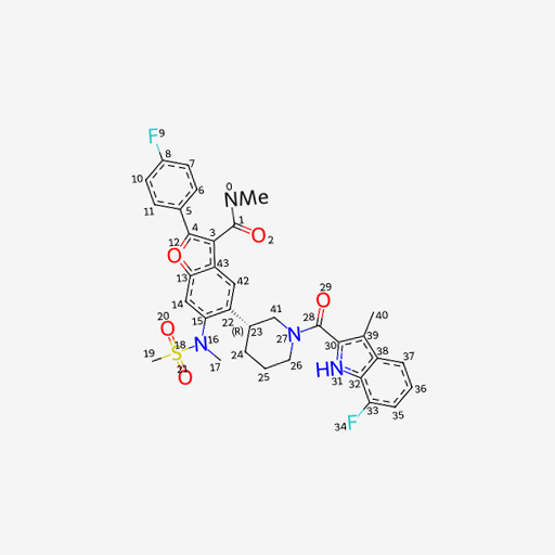 CNC(=O)c1c(-c2ccc(F)cc2)oc2cc(N(C)S(C)(=O)=O)c([C@H]3CCCN(C(=O)c4[nH]c5c(F)cccc5c4C)C3)cc12